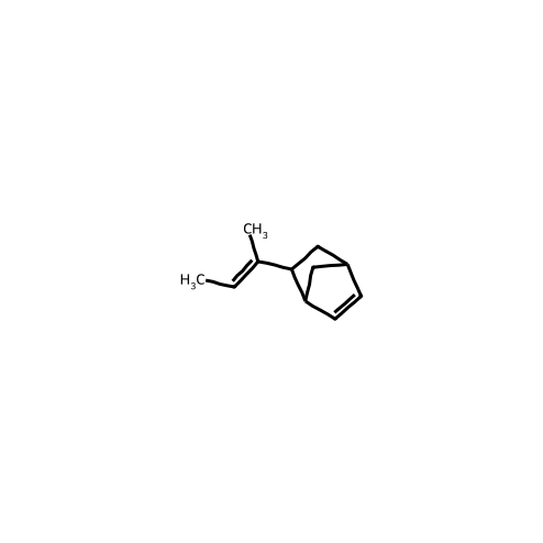 CC=C(C)C1CC2C=CC1C2